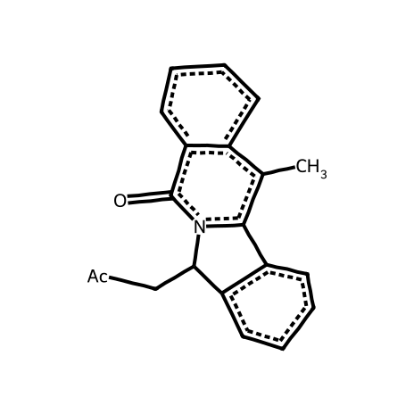 CC(=O)CC1c2ccccc2-c2c(C)c3ccccc3c(=O)n21